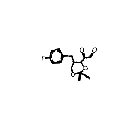 CC1(C)OCC(Cc2ccc(F)cc2)C(C(=O)C=O)O1